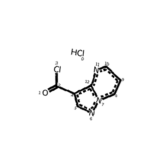 Cl.O=C(Cl)c1cnn2cccnc12